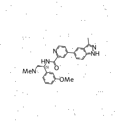 CNC[C@@H](NC(=O)c1cc(-c2ccc3[nH]nc(C)c3c2)ccn1)c1cccc(OC)c1